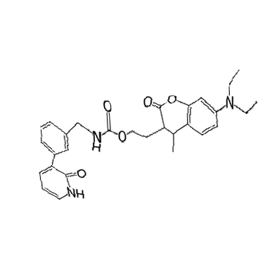 CCN(CC)c1ccc2c(c1)OC(=O)C(CCOC(=O)NCc1cccc(-c3ccc[nH]c3=O)c1)C2C